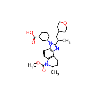 COC(=O)N1c2ccc3c(nc(C(C)CC4CCOCC4)n3[C@@H]3CCC[C@@H](C(=O)O)C3)c2CC[C@@H]1C